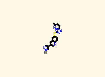 CCn1cc(-c2cnc3ccc(Sc4nnc5ccc(C)nn45)cc3c2)cn1